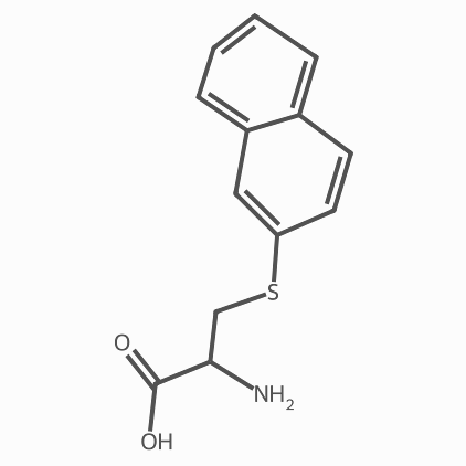 NC(CSc1ccc2ccccc2c1)C(=O)O